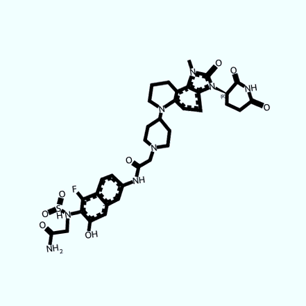 Cn1c(=O)n([C@@H]2CCC(=O)NC2=O)c2ccc3c(c21)CCCN3C1CCN(CC(=O)Nc2ccc3c(F)c(N(CC(N)=O)[SH](=O)=O)c(O)cc3c2)CC1